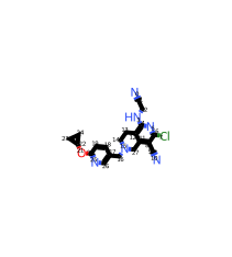 N#CCNc1nc(Cl)c(C#N)c2c1CCN(Cc1ccc(OC3CC3)nc1)C2